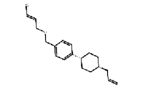 C=CC[C@H]1CC[C@H](c2ccc(COC/C=C/CC)cc2)CC1